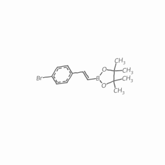 CC1(C)OB(C=Cc2ccc(Br)cc2)OC1(C)C